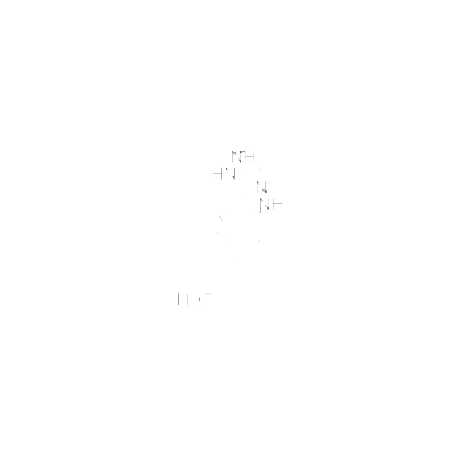 CCCCc1ccc2c(NN)n[nH]c2c1